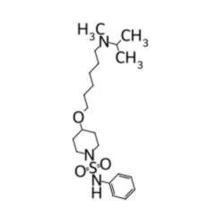 CC(C)N(C)CCCCCCOC1CCN(S(=O)(=O)Nc2ccccc2)CC1